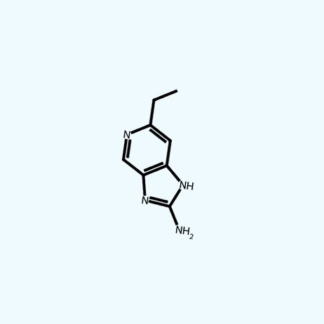 CCc1cc2[nH]c(N)nc2cn1